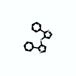 c1ccc(-c2sccc2Sc2ccsc2-c2ccccc2)cc1